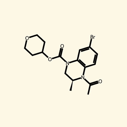 CC(=O)N1c2ccc(Br)cc2N(C(=O)OC2CCOCC2)C[C@@H]1C